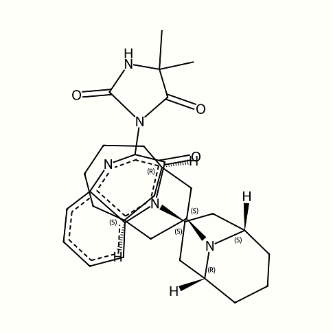 CC1(C)NC(=O)N(c2nc3ccccc3n([C@@H]3C[C@H]4CCC[C@@H](C3)N4[C@@H]3C[C@@H]4CCCC[C@@H](C4)C3)c2=O)C1=O